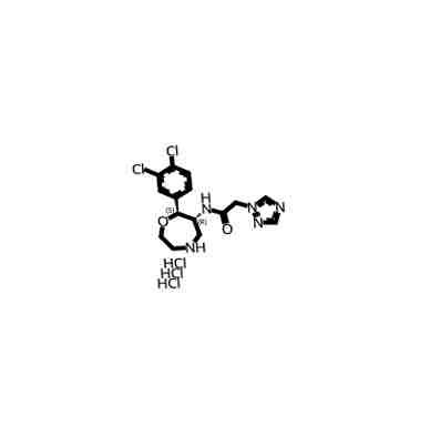 Cl.Cl.Cl.O=C(Cn1cncn1)N[C@@H]1CNCCO[C@H]1c1ccc(Cl)c(Cl)c1